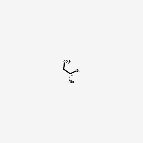 CCCC[C@@H](CC)CC(=O)O